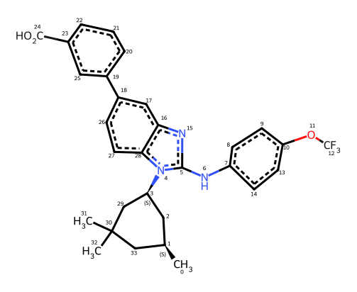 C[C@@H]1C[C@H](n2c(Nc3ccc(OC(F)(F)F)cc3)nc3cc(-c4cccc(C(=O)O)c4)ccc32)CC(C)(C)C1